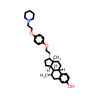 C[C@@H]1Cc2cc(O)ccc2[C@H]2CC[C@]3(C)[C@@H](CCOc4ccc(OCCN5CCCCC5)cc4)CC[C@H]3[C@H]12